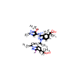 CC(C)n1nc(I)c2cc(C(C)(C)O)ccc21.COc1nn(C)cc1Nc1nn(C(C)C)c2ccc(C(C)(C)O)cc12